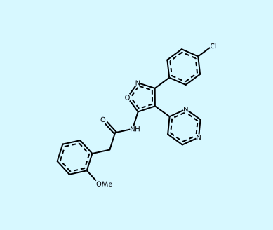 COc1ccccc1CC(=O)Nc1onc(-c2ccc(Cl)cc2)c1-c1ccncn1